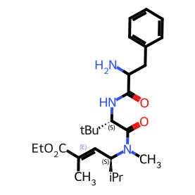 CCOC(=O)/C(C)=C/[C@H](C(C)C)N(C)C(=O)[C@@H](NC(=O)C(N)Cc1ccccc1)C(C)(C)C